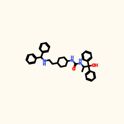 CC(NC(=O)NC1CCC(CCNC(c2ccccc2)c2ccccc2)CC1)C(O)(c1ccccc1)c1ccccc1